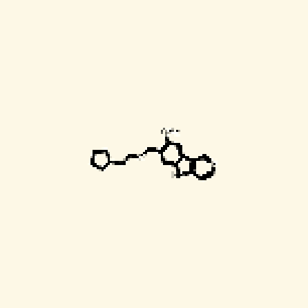 COc1cc2c(cc1COCCN1CCCC1)[nH]c1ccncc12